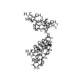 Cc1[nH]nc(Nc2ncnc3cc(OCCN4CCN(c5ncc(O[C@H]6C[C@@H](C(=O)Nc7c(F)cccc7F)N(C(=O)C(NC(=O)C(C)N(C)C(=O)O)C(C)(C)C)C6)cn5)CC4)c(S(=O)(=O)C(C)(C)C)cc23)c1C